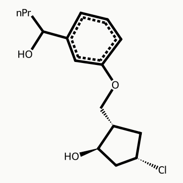 CCCC(O)c1cccc(OC[C@@H]2C[C@H](Cl)C[C@H]2O)c1